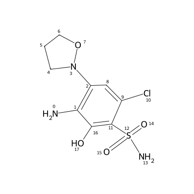 Nc1c(N2CCCO2)cc(Cl)c(S(N)(=O)=O)c1O